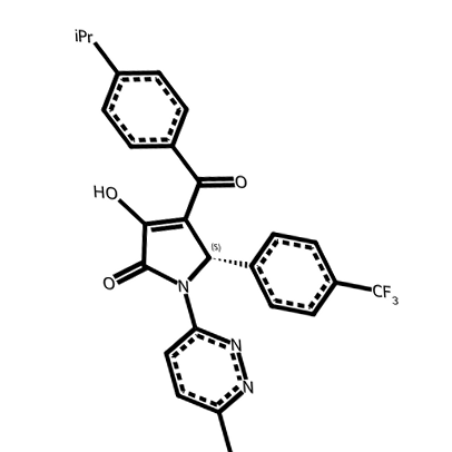 Cc1ccc(N2C(=O)C(O)=C(C(=O)c3ccc(C(C)C)cc3)[C@@H]2c2ccc(C(F)(F)F)cc2)nn1